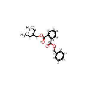 CCC(CC)COC(=O)c1ccccc1C(=O)OCc1ccccc1